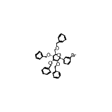 Brc1cccc([C@@H]2O[C@H](COCc3ccccc3)[C@@H](OCc3ccccc3)[C@H](OCc3ccccc3)[C@H]2OCc2ccccc2)c1